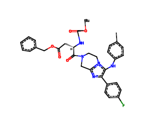 Cc1ccc(Nc2c(-c3ccc(F)cc3)nc3n2CCN(C(=O)[C@H](CC(=O)OCc2ccccc2)NC(=O)OC(C)(C)C)C3)cc1